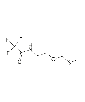 CSCOCCNC(=O)C(F)(F)F